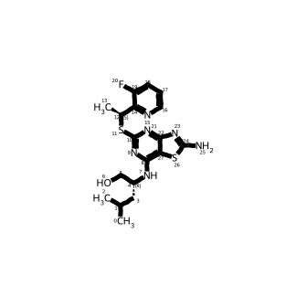 CC(C)C[C@H](CO)Nc1nc(S[C@@H](C)c2ncccc2F)nc2nc(N)sc12